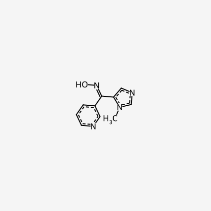 Cn1cncc1/C(=N/O)c1cccnc1